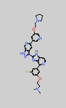 CN(C)CCOc1cc(F)cc(-c2nccc3[nH]c(-c4n[nH]c5cnc(-c6cncc(OCCN7CCCC7)c6)cc45)nc23)c1